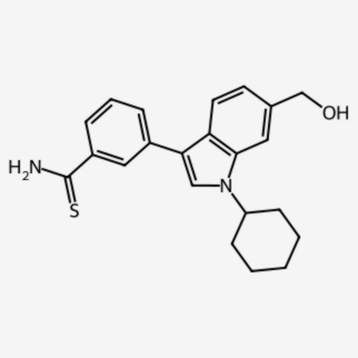 NC(=S)c1cccc(-c2cn(C3CCCCC3)c3cc(CO)ccc23)c1